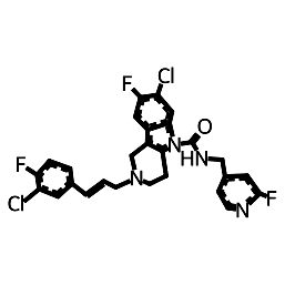 O=C(NCc1ccnc(F)c1)n1c2c(c3cc(F)c(Cl)cc31)CN(CC=Cc1ccc(F)c(Cl)c1)CC2